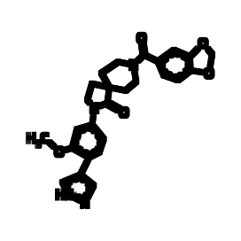 COc1cc(N2CCC3(CCN(C(=O)c4ccc5c(c4)OCO5)CC3)C2=O)ccc1-c1cn[nH]c1